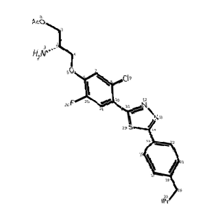 CC(=O)OC[C@@H](N)COc1cc(Cl)c(-c2nnc(-c3ccc(CC(C)C)cc3)s2)cc1F